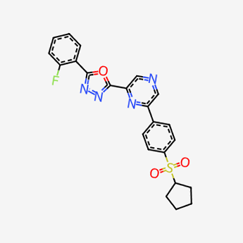 O=S(=O)(c1ccc(-c2cncc(-c3nnc(-c4ccccc4F)o3)n2)cc1)C1CCCC1